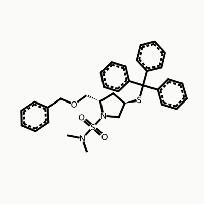 CN(C)S(=O)(=O)N1C[C@H](SC(c2ccccc2)(c2ccccc2)c2ccccc2)C[C@H]1COCc1ccccc1